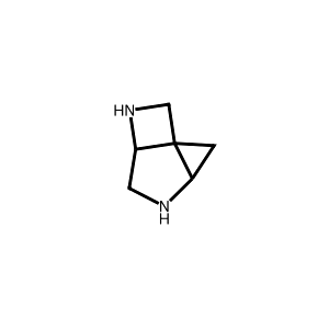 C1NC2CC23CNC13